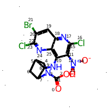 O=C(O)N1CC2CC1C2Nc1c([N+](=O)[O-])c(Cl)nc2cc(Br)c(Cl)nc12